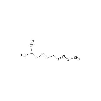 CON=CCCCCC(C)C#N